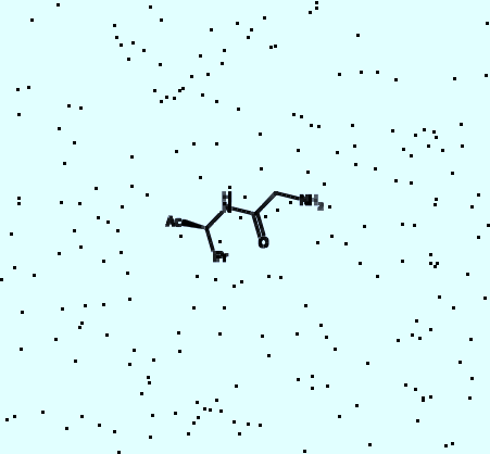 CC(=O)[C@@H](NC(=O)CN)C(C)C